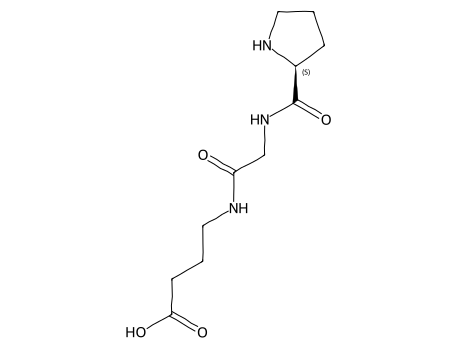 O=C(O)CCCNC(=O)CNC(=O)[C@@H]1CCCN1